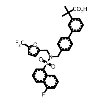 CC(C)(C(=O)O)c1cccc(-c2ccc(CN(Cc3ccc(C(F)(F)F)o3)S(=O)(=O)c3cccc4c(F)cccc34)cc2)c1